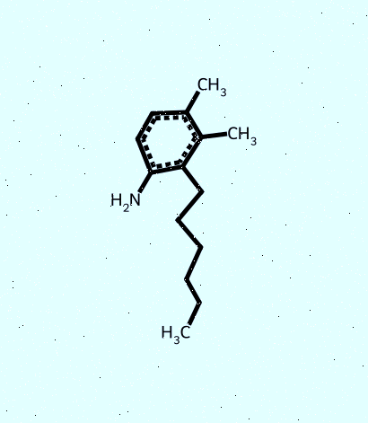 CCCCCCc1c(N)ccc(C)c1C